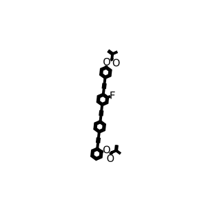 C=C(C)C(=O)Oc1ccc(C#Cc2ccc(C#Cc3ccc(C#Cc4ccccc4OC(=O)C(=C)C)cc3)cc2F)cc1